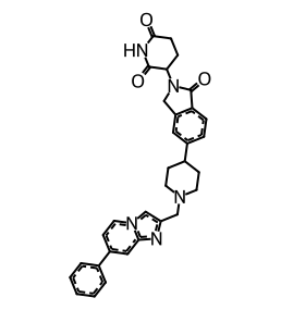 O=C1CCC(N2Cc3cc(C4CCN(Cc5cn6ccc(-c7ccccc7)cc6n5)CC4)ccc3C2=O)C(=O)N1